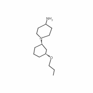 CCCO[C@H]1CCC[C@@H](N2CCC(N)CC2)C1